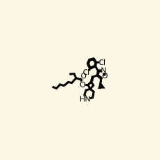 CCCCCCC(CC)C(=O)OC1C(=Cc2c(-c3c(Cl)cccc3Cl)noc2C2CC2)CC12CCNCC2